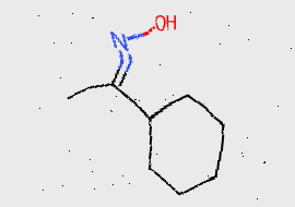 C/C(=N/O)C1CCCCC1